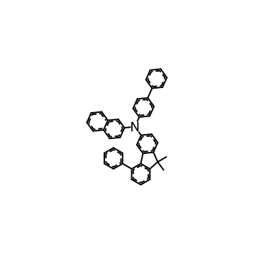 CC1(C)c2ccc(N(c3ccc(-c4ccccc4)cc3)c3ccc4ccccc4c3)cc2-c2c(-c3ccccc3)cccc21